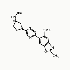 COc1cc2nc(C)oc2cc1-c1cnc(N2CC[C@@H](NC(C)(C)C)C2)cn1